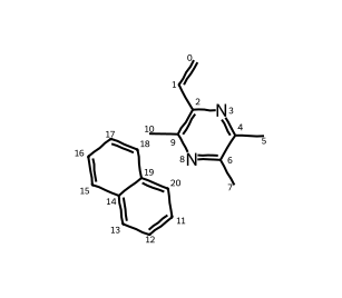 C=Cc1nc(C)c(C)nc1C.c1ccc2ccccc2c1